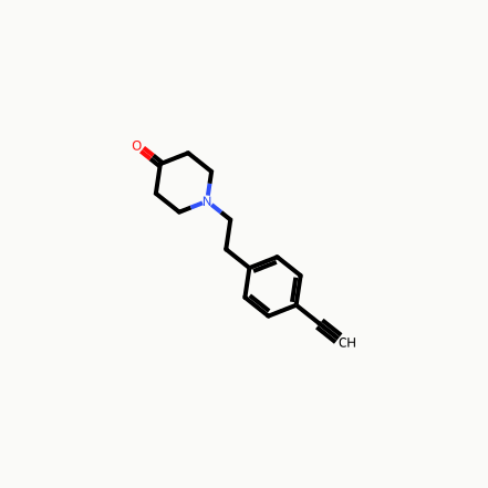 C#Cc1ccc(CCN2CCC(=O)CC2)cc1